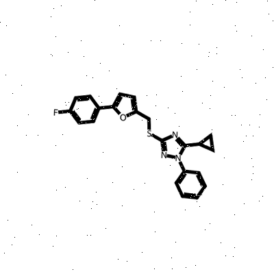 Fc1ccc(-c2ccc(CSc3nc(C4CC4)n(-c4ccccc4)n3)o2)cc1